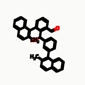 Cc1ccc2ccccc2c1-c1cccc(C(O)c2c(C=O)cccc2-c2c(C)ccc3ccccc23)c1